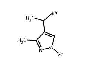 CCn1cc(C(C)C(C)C)c(C)n1